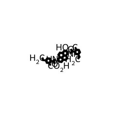 C=Cc1ccc(C(=O)Nc2ccc3ccc4c(NC(=O)c5cc(C=C)ccc5C(=O)O)ccc5ccc2c3c54)c(C(=O)O)c1